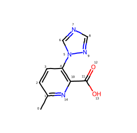 Cc1ccc(-n2cncn2)c(C(=O)O)n1